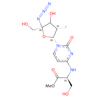 COC(=O)[C@H](CO)Nc1ccn([C@@H]2O[C@@](CO)(N=[N+]=[N-])C(O)[C@@H]2F)c(=O)n1